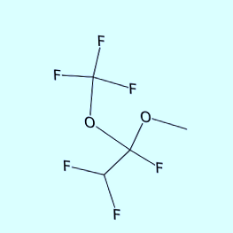 COC(F)(OC(F)(F)F)C(F)F